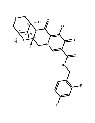 C[C@H]1[C@@H]2COC[C@H]1N1C(=O)c3c(O)c(=O)c(C(=O)NCc4ccc(F)cc4F)cn3C[C@@H]1O2